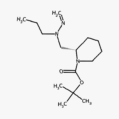 C=NN(CCC)C[C@@H]1CCCCN1C(=O)OC(C)(C)C